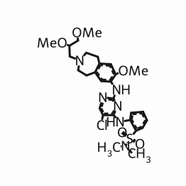 COCC(CN1CCc2cc(Nc3ncc(Cl)c(Nc4ccccc4S(=O)(=O)N(C)C)n3)c(OC)cc2CC1)OC